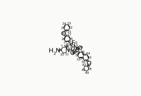 CN(C(C(=O)N1CCC(N)CC1)C(F)(F)c1ccc(Oc2ccccc2)cc1)S(=O)(=O)c1ccc2cc(OC3CCCC3)ccc2c1